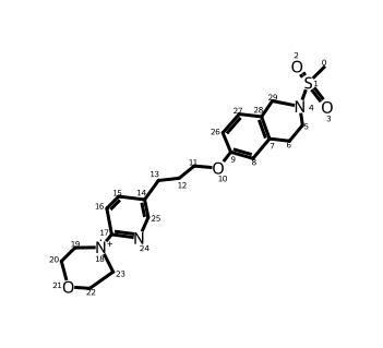 CS(=O)(=O)N1CCc2cc(OCCCc3ccc([N+]4CCOCC4)nc3)ccc2C1